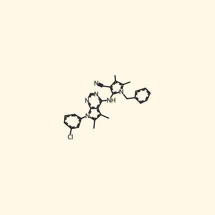 Cc1c(C#N)c(Nc2ncnc3c2c(C)c(C)n3-c2cccc(Cl)c2)n(Cc2ccccc2)c1C